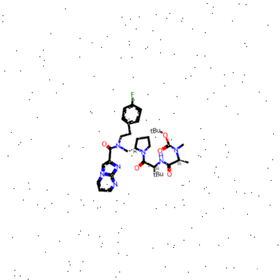 C[C@@H](C(=O)N[C@H](C(=O)N1CCC[C@H]1CN(CCc1ccc(F)cc1)C(=O)c1cn2cccnc2n1)C(C)(C)C)N(C)C(=O)OC(C)(C)C